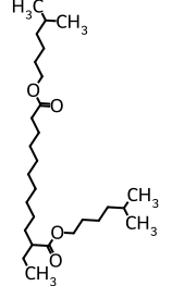 CCC(CCCCCCCCCC(=O)OCCCCC(C)C)C(=O)OCCCCC(C)C